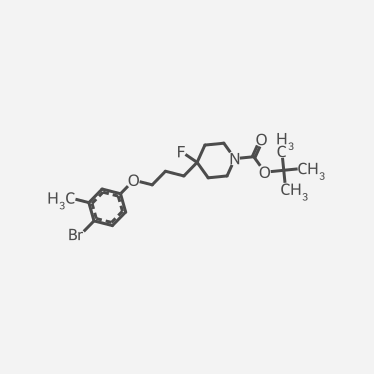 Cc1cc(OCCCC2(F)CCN(C(=O)OC(C)(C)C)CC2)ccc1Br